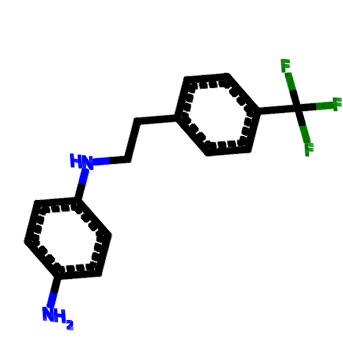 Nc1ccc(NCCc2ccc(C(F)(F)F)cc2)cc1